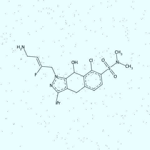 CC(C)c1nn(C/C(F)=C/CN)c2c1Cc1ccc(S(=O)(=O)N(C)C)c(Cl)c1C2O